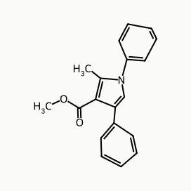 COC(=O)c1c(-c2ccccc2)cn(-c2ccccc2)c1C